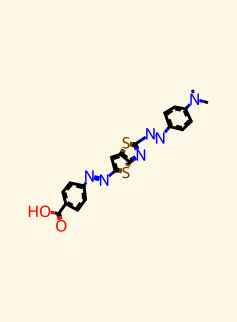 CN(C)c1ccc(N=Nc2nc3sc(N=Nc4ccc(C(=O)O)cc4)cc3s2)cc1